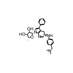 C[C@H]1O[C@@H](n2cc(-c3ccccc3)c3c2N=CN(Nc2ccc(CN(C)C)cc2)C3)[C@H](O)[C@@H]1O